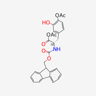 CC(=O)OC(=O)[C@H](Cc1ccc(OC(C)=O)c(O)c1)NC(=O)OCC1c2ccccc2-c2ccccc21